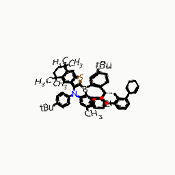 Cc1cc2c3c(c1)N(c1ccc(C(C)(C)C)cc1)c1c(sc4cc5c(cc14)C(C)(C)CCC5(C)C)B3C1=C(CCC(C(C)(C)C)=C1)[C@H](Cc1c(C3=CCCC=C3)cccc1-c1ccccc1)C2C